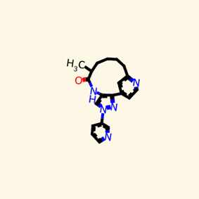 CC1CCCCc2cc(ccn2)-c2nn(-c3cccnc3)cc2NC1=O